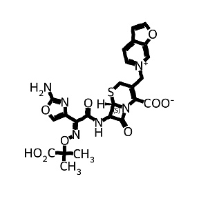 CC(C)(ON=C(C(=O)NC1C(=O)N2C(C(=O)[O-])=C(C[n+]3ccc4ccoc4c3)CS[C@@H]12)c1coc(N)n1)C(=O)O